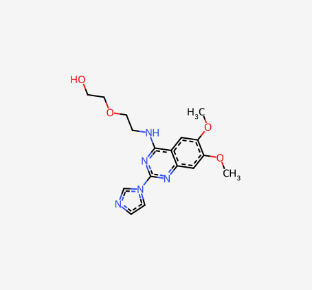 COc1cc2nc(-n3ccnc3)nc(NCCOCCO)c2cc1OC